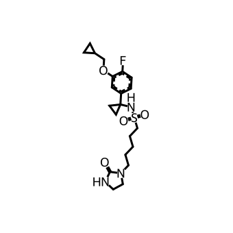 O=C1NCCN1CCCCCS(=O)(=O)NC1(c2ccc(F)c(OCC3CC3)c2)CC1